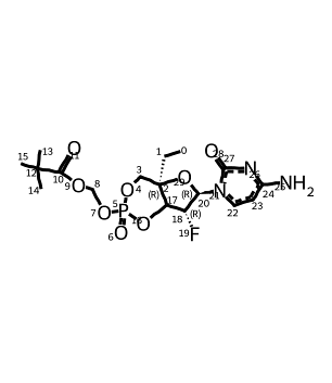 CC[C@@]12COP(=O)(OCOC(=O)C(C)(C)C)OC1[C@@H](F)[C@H](n1ccc(N)nc1=O)O2